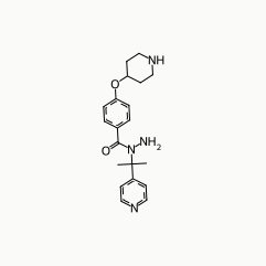 CC(C)(c1ccncc1)N(N)C(=O)c1ccc(OC2CCNCC2)cc1